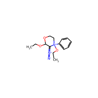 CCOC1OCC[N+](OCC)(c2ccccc2)C1=[N+]=[N-]